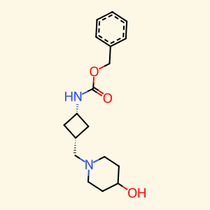 O=C(N[C@H]1C[C@@H](CN2CCC(O)CC2)C1)OCc1ccccc1